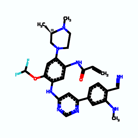 C=CC(=O)Nc1cc(Nc2cc(-c3ccc(C=N)c(NC)c3)ncn2)c(OC(F)F)cc1N1CCN(C)[C@@H](C)C1